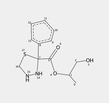 CC(CO)OC(=O)C1(c2ccccc2)NN[CH]S1